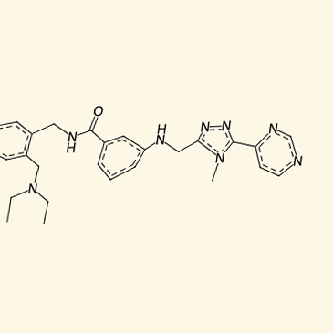 CCN(CC)Cc1ccccc1CNC(=O)c1cccc(NCc2nnc(-c3ccncn3)n2C)c1